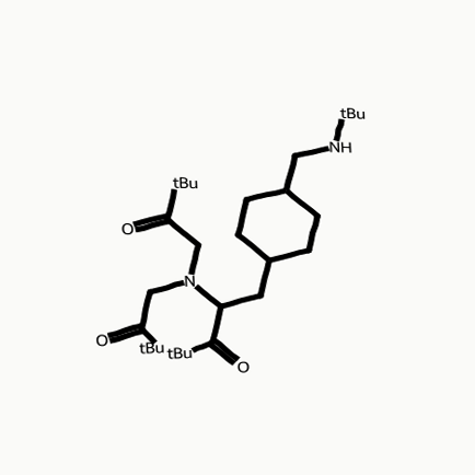 CC(C)(C)NCC1CCC(CC(C(=O)C(C)(C)C)N(CC(=O)C(C)(C)C)CC(=O)C(C)(C)C)CC1